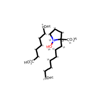 CCCCCCCCCCCCCCCC(=O)O.CCCCCCCCCCCCCCCCC1(C(=O)O)CCCN1O